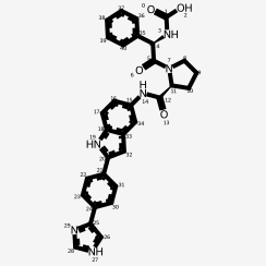 O=C(O)N[C@@H](C(=O)N1CCC[C@H]1C(=O)Nc1ccc2[nH]c(-c3ccc(-c4c[nH]cn4)cc3)cc2c1)c1ccccc1